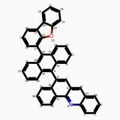 c1ccc2nc3c(cc(-c4c5ccccc5c(-c5cccc6c5oc5ccccc56)c5ccccc45)c4ccccc43)cc2c1